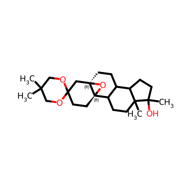 CC1(C)COC2(CC[C@]34O[C@]3(CCC3C5CCC(C)(O)C5(C)CCC34)C2)OC1